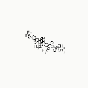 COc1cc2c(cc1C(=O)OCC(=O)N(C)C)NC(Nc1nc3ccc(OC(F)(F)F)cc3s1)(C(N)=O)N2C